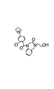 O=C1CN(C(=O)c2ccc(N3CCCC3)cc2Cl)c2ccccc2CN1CCO